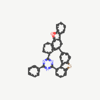 c1ccc(-c2nc(-c3ccccc3)nc(-c3cccc4sc5ccc(-c6ccc7oc8ccccc8c7c6)cc5c34)n2)cc1